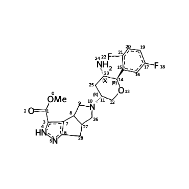 COC(=O)c1[nH]nc2c1C1CN([C@H]3CO[C@H](c4cc(F)ccc4F)[C@@H](N)C3)CC1C2